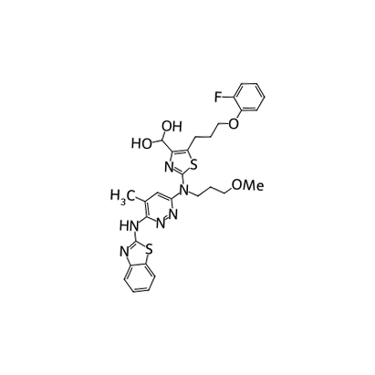 COCCCN(c1cc(C)c(Nc2nc3ccccc3s2)nn1)c1nc(C(O)O)c(CCCOc2ccccc2F)s1